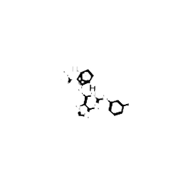 NC(=O)[C@@H]1[C@H](Nc2[nH]c(Nc3cccc(F)c3)nc3ncnc2-3)[C@H]2C=C[C@@H]1C2